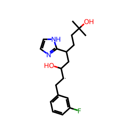 CC(C)(O)CCC(CC(O)[CH]Cc1cccc(F)c1)c1ncc[nH]1